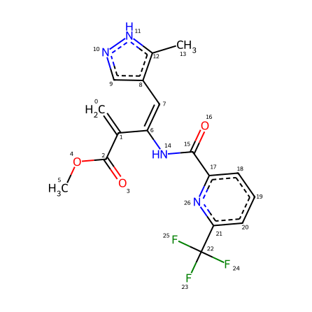 C=C(C(=O)OC)/C(=C\c1cn[nH]c1C)NC(=O)c1cccc(C(F)(F)F)n1